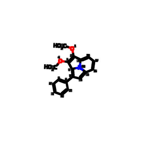 O=C(O)Oc1c(OC(=O)O)c2c(-c3ccccc3)cc3cccc1n32